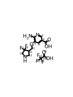 Nc1ncc(C(=O)O)cc1OCC1CNCC1(F)F.O=C(O)C(F)(F)F